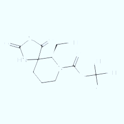 CC(C)(C)OC(=O)N1CCCC2(NC(=O)NC2=O)[C@H]1CO